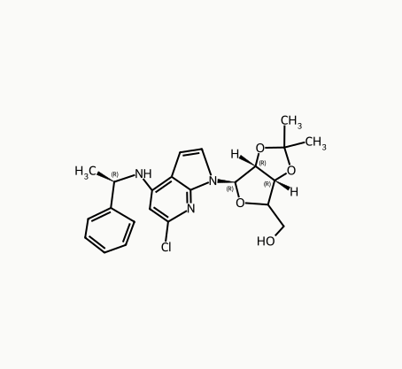 C[C@@H](Nc1cc(Cl)nc2c1ccn2[C@@H]1OC(CO)[C@H]2OC(C)(C)O[C@H]21)c1ccccc1